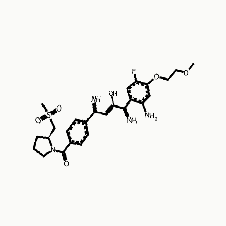 COCCOc1cc(N)c(C(=N)/C(O)=C/C(=N)c2ccc(C(=O)N3CCC[C@H]3CS(C)(=O)=O)cc2)cc1F